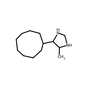 CC1NCNC1C1CCCCCCCC1